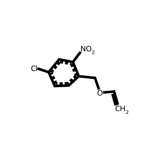 C=COCc1ccc(Cl)cc1[N+](=O)[O-]